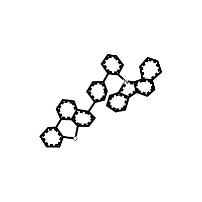 c1ccc2c(c1)Oc1ccc(-c3ccc(-c4ccccc4-n4c5ccccc5c5ccc6ccccc6c54)cc3)c3cccc-2c13